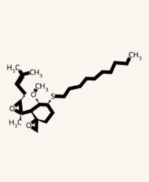 CCCCCCCCCCS[C@@H]1CC[C@]2(CO2)[C@@H]([C@@]2(C)O[C@@H]2CC=C(C)C)[C@@H]1OC